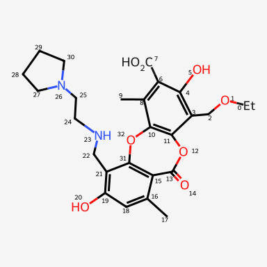 CCOCc1c(O)c(C(=O)O)c(C)c2c1OC(=O)c1c(C)cc(O)c(CNCCN3CCCC3)c1O2